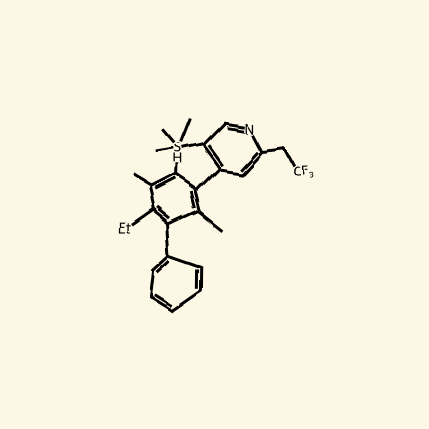 CCc1c(C)c2c(c(C)c1-c1ccccc1)-c1cc(CC(F)(F)F)ncc1[SH]2(C)(C)C